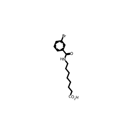 O=C(O)CCCCCCCNC(=O)c1cccc(Br)c1